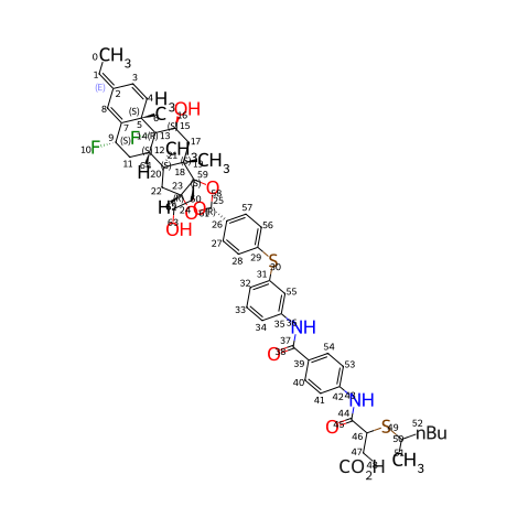 C/C=C1\C=C[C@@]2(C)C(=C1)[C@@H](F)C[C@@H]1[C@]2(F)[C@@H](O)C[C@@]2(C)[C@@]1(C)C[C@H]1O[C@@H](c3ccc(Sc4cccc(NC(=O)c5ccc(NC(=O)C(CC(=O)O)SC(C)CCCC)cc5)c4)cc3)O[C@]12C(=O)CO